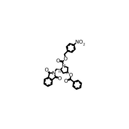 O=C(O[C@@H]1C[C@@H](CN2C(=O)c3ccccc3C2=O)N(C(=O)OCc2ccc([N+](=O)[O-])cc2)C1)c1ccccc1